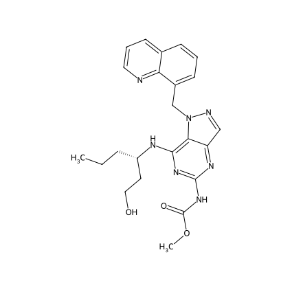 CCC[C@@H](CCO)Nc1nc(NC(=O)OC)nc2cnn(Cc3cccc4cccnc34)c12